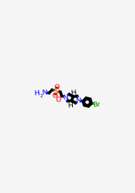 NCCS(=O)(=O)CC(=O)N1C[C@@H]2CN(c3ccc(Br)cc3)C[C@@H]2C1